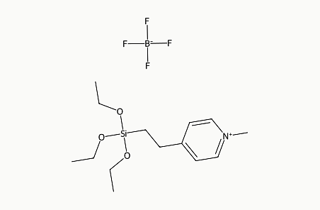 CCO[Si](CCc1cc[n+](C)cc1)(OCC)OCC.F[B-](F)(F)F